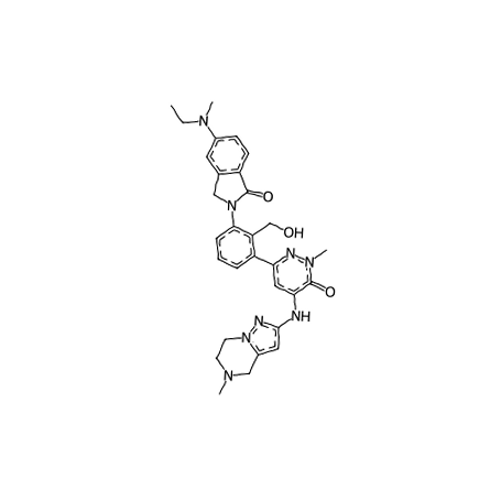 CCN(C)c1ccc2c(c1)CN(c1cccc(-c3cc(Nc4cc5n(n4)CCN(C)C5)c(=O)n(C)n3)c1CO)C2=O